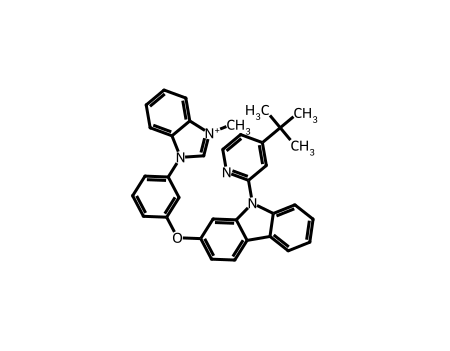 C[n+]1cn(-c2cccc(Oc3ccc4c5ccccc5n(-c5cc(C(C)(C)C)ccn5)c4c3)c2)c2ccccc21